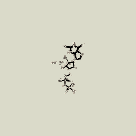 O=c1[nH]c(=O)c2ncn([C@@H]3O[C@H](COP(=O)(O)OP(=O)(O)O)[C@@H](O)[C@H]3O)c2[nH]1.[NaH].[NaH]